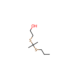 CCCSC(C)(C)SCCO